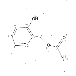 NC(=O)OCc1ccncc1O